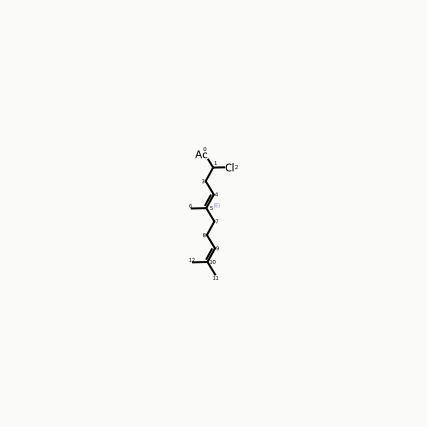 CC(=O)C(Cl)C/C=C(\C)CCC=C(C)C